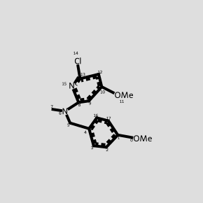 COc1ccc(CN(C)c2cc(OC)cc(Cl)n2)cc1